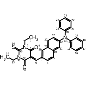 CCN1C(=O)C(=Cc2ccc3cc(N(c4ccccc4)c4ccccc4)ccc3c2)C(=O)N(CC)C1=S